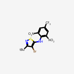 CC(C)(C)c1nsc(Nc2c([N+](=O)[O-])cc(C(F)(F)F)cc2[N+](=O)[O-])c1Br